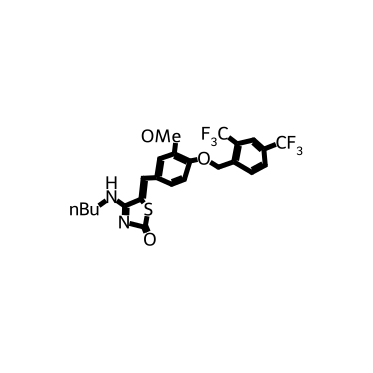 CCCCNC1=NC(=O)S/C1=C\c1ccc(OCc2ccc(C(F)(F)F)cc2C(F)(F)F)c(OC)c1